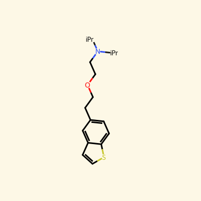 CC(C)N(CCOCCc1ccc2sccc2c1)C(C)C